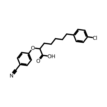 N#Cc1ccc(OC(CCCCCc2ccc(Cl)cc2)C(=O)O)cc1